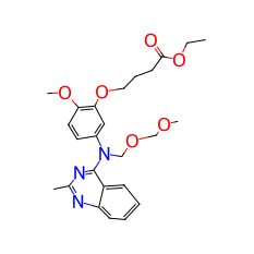 CCOC(=O)CCCOc1cc(N(COCOC)c2nc(C)nc3ccccc23)ccc1OC